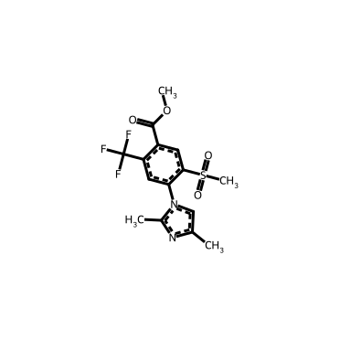 COC(=O)c1cc(S(C)(=O)=O)c(-n2cc(C)nc2C)cc1C(F)(F)F